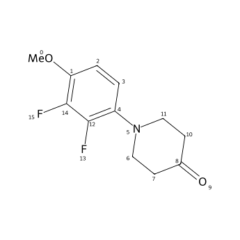 COc1ccc(N2CCC(=O)CC2)c(F)c1F